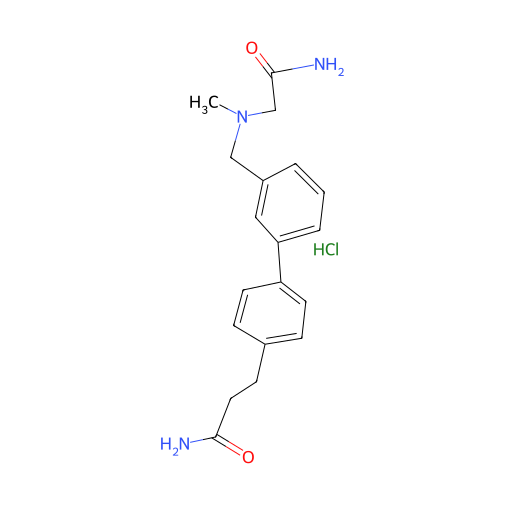 CN(CC(N)=O)Cc1cccc(-c2ccc(CCC(N)=O)cc2)c1.Cl